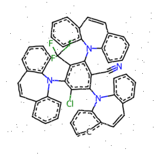 N#Cc1c(N2c3ccccc3C=Cc3ccccc32)c(Cl)c(N2c3ccccc3C=Cc3ccccc32)c(C(F)(F)F)c1N1c2ccccc2C=Cc2ccccc21